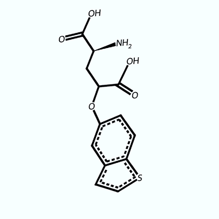 N[C@@H](CC(Oc1ccc2sccc2c1)C(=O)O)C(=O)O